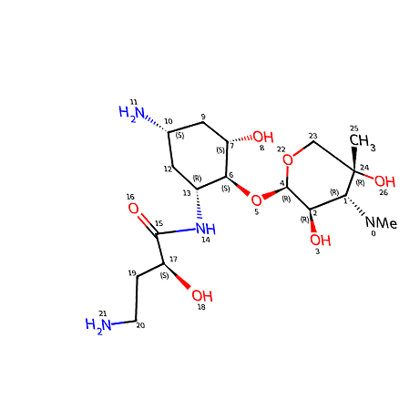 CN[C@@H]1[C@@H](O)[C@@H](O[C@@H]2[C@@H](O)C[C@@H](N)C[C@H]2NC(=O)[C@@H](O)CCN)OC[C@]1(C)O